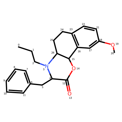 CCCN1C(Cc2ccccc2)C(=O)OC2c3cc(OC)ccc3CCC21